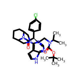 CC(C)N(CC[C@@H](C(=O)N1C2CCCC1CN(c1ncnc3[nH]ccc13)C2)c1ccc(Cl)cc1)C(=O)OC(C)(C)C